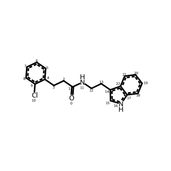 O=C(CCc1ccccc1Cl)NCCc1c[nH]c2ccccc12